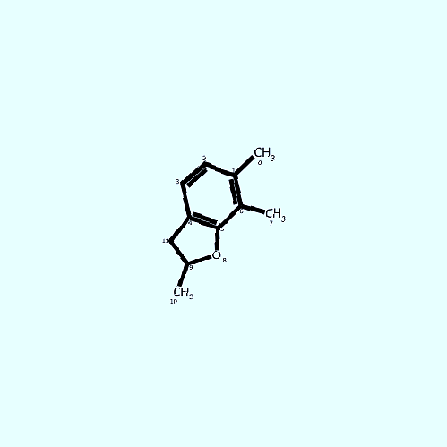 Cc1ccc2c(c1C)OC(C)C2